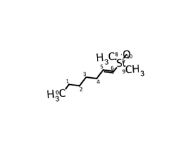 CCCCCC=C[Si](C)(C)[O]